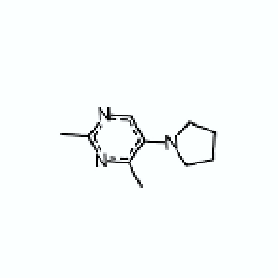 Cc1ncc(N2CCCC2)c(C)n1